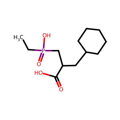 CCP(=O)(O)CC(CC1CCCCC1)C(=O)O